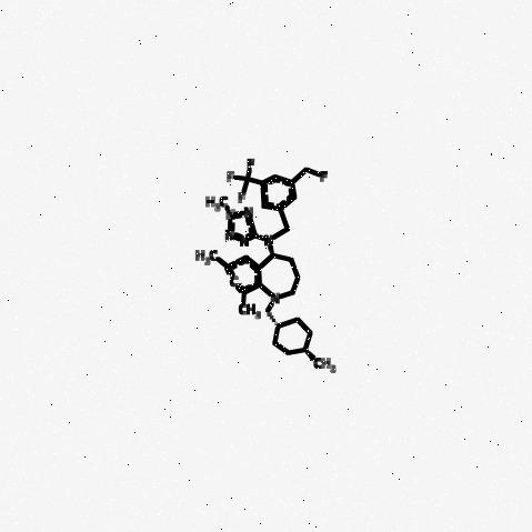 Cc1cc(C)c2c(c1)[C@@H](N(Cc1cc(CF)cc(C(F)(F)F)c1)c1nnn(C)n1)CCCN2C[C@H]1CC[C@H](C)CC1